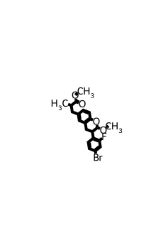 COC(=O)C(C)Cc1ccc2c(c1)CC(c1ccc(Br)cc1F)C(OC)O2